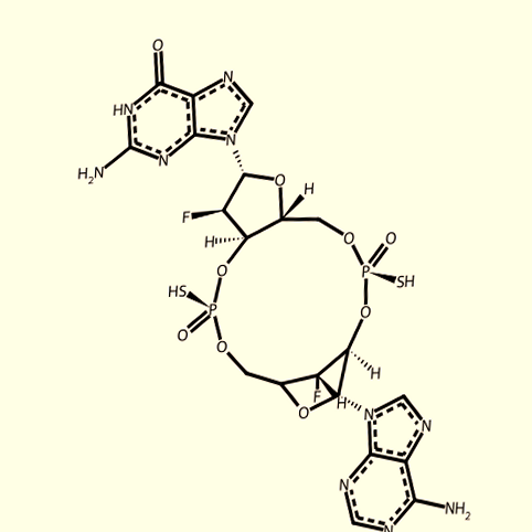 Nc1nc2c(ncn2[C@@H]2O[C@@H]3CO[P@@](=O)(S)O[C@@H]4[C@H](F)C(CO[P@@](=O)(S)O[C@H]3[C@H]2F)O[C@H]4n2cnc3c(N)ncnc32)c(=O)[nH]1